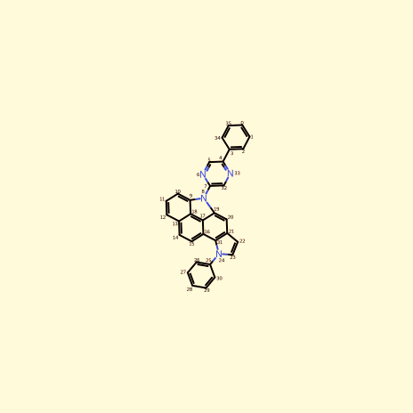 c1ccc(-c2cnc(-n3c4cccc5ccc6c(c54)c3cc3ccn(-c4ccccc4)c36)cn2)cc1